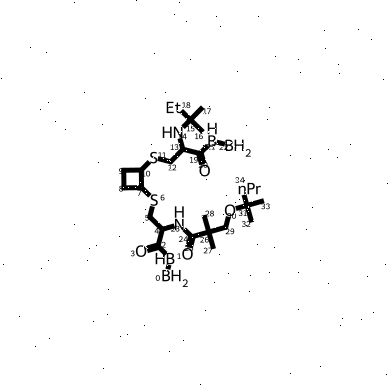 BBC(=O)C(CSC1CCC1SCC(NC(C)(C)CC)C(=O)BB)NC(=O)C(C)(C)COC(C)(C)CCC